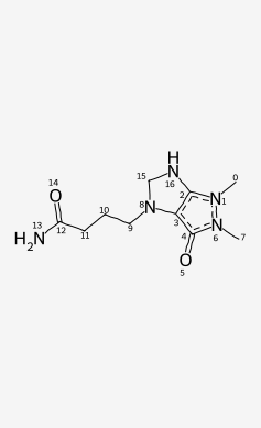 Cn1c2c(c(=O)n1C)N(CCCC(N)=O)CN2